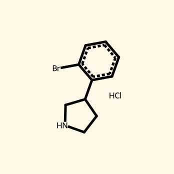 Brc1ccccc1C1CCNC1.Cl